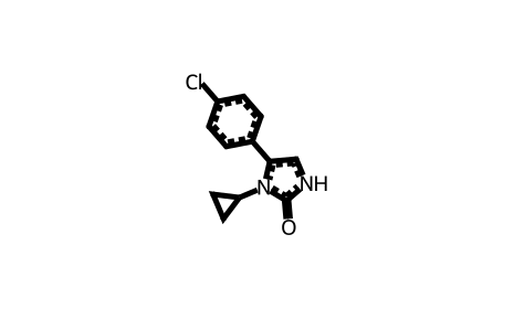 O=c1[nH]cc(-c2ccc(Cl)cc2)n1C1CC1